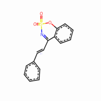 O=S1(=O)N=C(/C=C/c2ccccc2)c2ccccc2O1